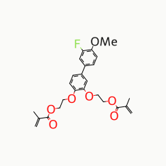 C=C(C)C(=O)OCCOc1ccc(-c2ccc(OC)c(F)c2)cc1OCCOC(=O)C(=C)C